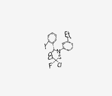 CCc1cccc(N(SC(F)(Cl)Cl)C(=O)c2ccccc2I)c1